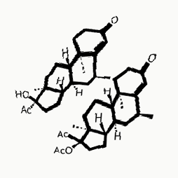 CC(=O)O[C@]1(C(C)=O)CC[C@H]2[C@@H]3C[C@H](C)C4=CC(=O)CC[C@]4(C)[C@H]3CC[C@@]21C.CC(=O)[C@@]1(O)CC[C@H]2[C@@H]3C[C@H](C)C4=CC(=O)CC[C@]4(C)[C@H]3CC[C@@]21C